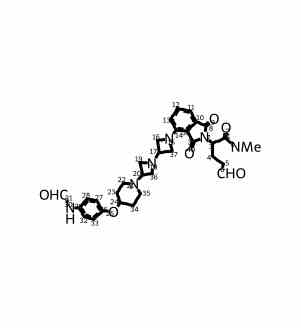 CNC(=O)C(CCC=O)N1C(=O)c2cccc(N3CC(N4CC(N5CCC(Oc6ccc(NC=O)cc6)CC5)C4)C3)c2C1=O